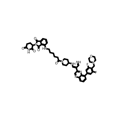 N=C/C(=C\NC1CCN(C(=O)CCCCCNc2cccc3c2C(=O)N(C2CCC(=O)NC2=O)C3=O)CC1)c1cnc2cccc(-c3cc(F)c(CN4CCOCC4)c(F)c3)c2n1